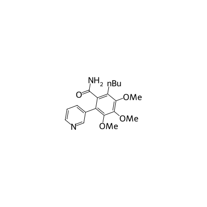 CCCCc1c(OC)c(OC)c(OC)c(-c2cccnc2)c1C(N)=O